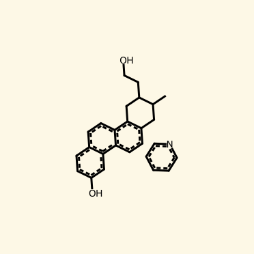 CC1Cc2ccc3c(ccc4ccc(O)cc43)c2CC1CCO.c1ccncc1